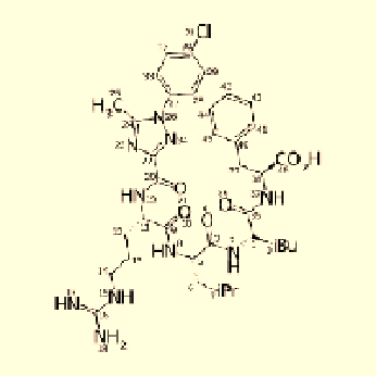 CC[C@H](C)[C@H](NC(=O)[C@H](CC(C)C)NC(=O)[C@H](CCCNC(=N)N)NC(=O)c1nc(C)n(-c2ccc(Cl)cc2)n1)C(=O)N[C@@H](Cc1ccccc1)C(=O)O